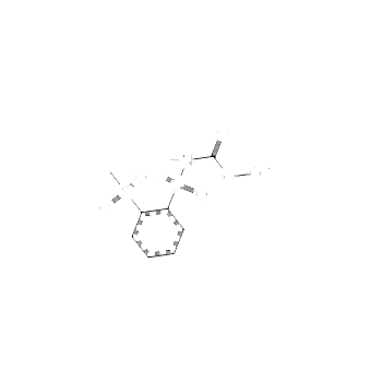 CC(=O)OOC(=O)NS(=O)(=O)c1ccccc1S(C)(=O)=O